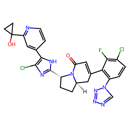 O=C1C=C(c2c(-n3cnnn3)ccc(Cl)c2F)C[C@H]2CC[C@H](c3nc(Cl)c(-c4ccnc(C5(O)CC5)c4)[nH]3)N12